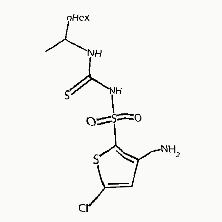 CCCCCCC(C)NC(=S)NS(=O)(=O)c1sc(Cl)cc1N